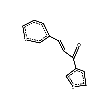 O=C(C=Cc1cccnc1)c1ccsc1